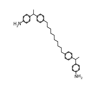 CC(c1ccc(N)cc1)c1ccc(CCCCCCCCCCc2ccc(C(C)c3ccc(N)cc3)cc2)cc1